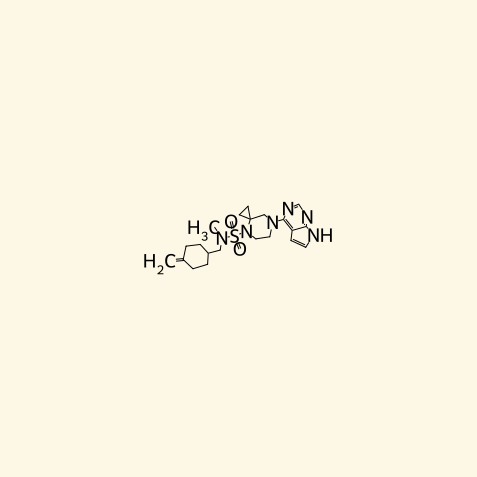 C=C1CCC(CN(C)S(=O)(=O)N2CCN(c3ncnc4[nH]ccc34)CC23CC3)CC1